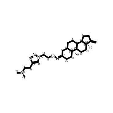 C=C1CCC2C3CCC4CC(=NOCCn5cc(CCN(C)C)nn5)CC[C@]4(C)C3CC[C@]12C